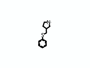 c1ccc(SCC2CC[N]C2)cc1